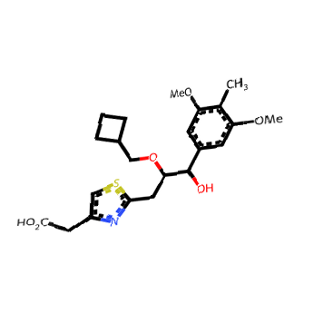 COc1cc(C(O)C(Cc2nc(CC(=O)O)cs2)OCC2CCC2)cc(OC)c1C